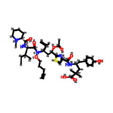 C#CCCCON(C(=O)[C@@H](NC(=O)[C@H]1CCCCN1C)[C@@H](C)CC)[C@H](C[C@@H](OC(C)=O)c1nc(C(=O)N[C@@H](Cc2ccc(O)cc2)CC(C)(C)C(=O)O)cs1)C(=C)C